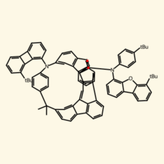 CC(C)(C)c1ccc(N(c2ccc3c(c2)C24c5cc(ccc5-3)N(c3cccc5c3-c3c-5cccc3C(C)(C)C)c3ccc(cc3)C(C)(C)c3ccc5c(c3)-c3cc2c(c2cccc-5c32)-c2ccccc24)c2cccc3c2oc2c(C(C)(C)C)cccc23)cc1